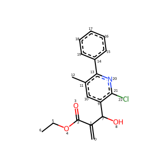 C=C(C(=O)OCC)C(O)c1cc(C)c(-c2ccccc2)nc1Cl